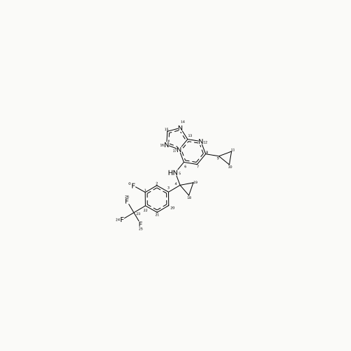 Fc1cc(C2(Nc3cc(C4CC4)nc4ncnn34)CC2)ccc1C(F)(F)F